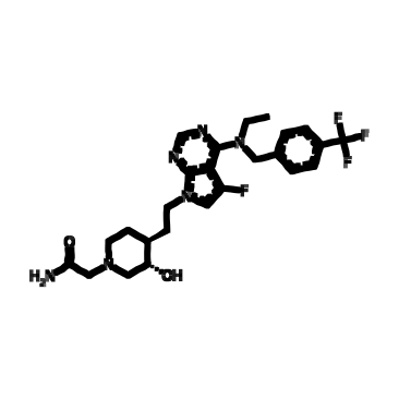 CCN(Cc1ccc(C(F)(F)F)cc1)c1ncnc2c1c(F)cn2CC[C@@H]1CCN(CC(N)=O)C[C@H]1O